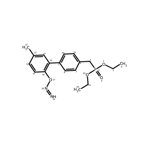 CCOP(=O)(Cc1ccc(-c2cc(C)ccc2ON=N)cc1)OCC